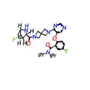 CC(C)N(C(=O)c1cc(F)ccc1Oc1cncnc1N1CC2(CN(C(=O)[C@H]3N[C@H]4CC[C@@H]3[C@@H](F)C4)C2)C1)C(C)C